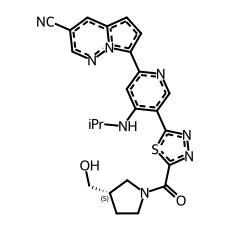 CC(C)Nc1cc(-c2ccc3cc(C#N)cnn23)ncc1-c1nnc(C(=O)N2CC[C@H](CO)C2)s1